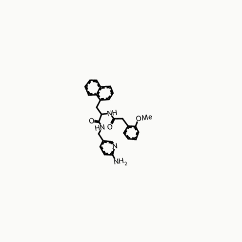 COc1ccccc1CC(=O)NC(Cc1cccc2ccccc12)C(=O)NCc1ccc(N)nc1